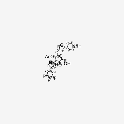 CC(=O)OC1C(CC2=NOC(C3CCN(C(C)=O)CC3)C2)OC(CO)C(O)C1n1cc(-c2cc(F)c(F)c(F)c2)nn1